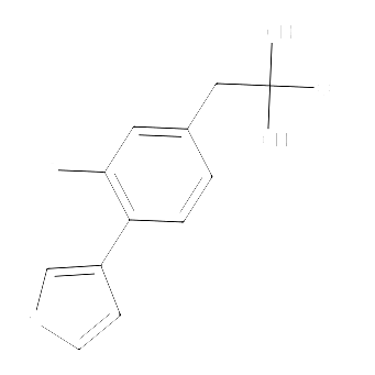 CC(C)(O)Cc1ccc(-c2ccsc2)c(F)c1